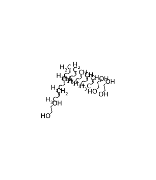 C=CC.C=CC.C=CC.C=CC.C=CC.C=CC.C=CC.OCCO.OCCO.OCCO